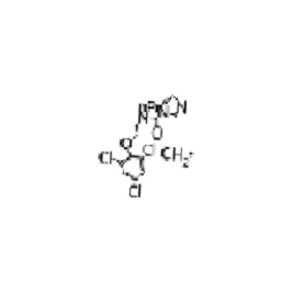 CCCN(CCOc1c(Cl)cc(Cl)cc1Cl)C(=O)n1ccnc1.[CH2]